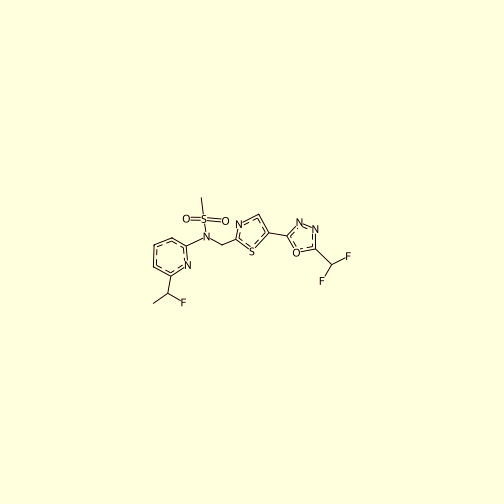 CC(F)c1cccc(N(Cc2ncc(-c3nnc(C(F)F)o3)s2)S(C)(=O)=O)n1